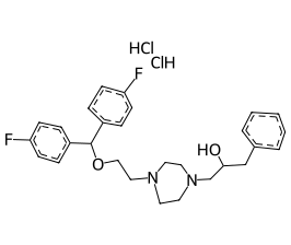 Cl.Cl.OC(Cc1ccccc1)CN1CCN(CCOC(c2ccc(F)cc2)c2ccc(F)cc2)CC1